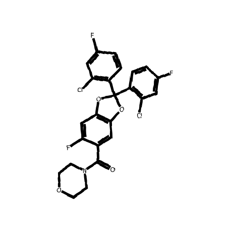 O=C(c1cc2c(cc1F)OC(c1ccc(F)cc1Cl)(c1ccc(F)cc1Cl)O2)N1CCOCC1